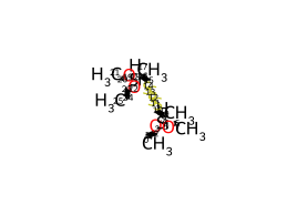 CCCO[SiH](OCC)C(C)CSSSSCC(C)[SiH](OCC)OCCC